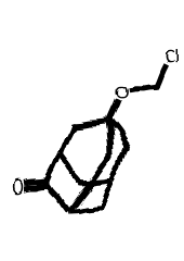 O=C1C2CC3CC1CC(OCCl)(C3)C2